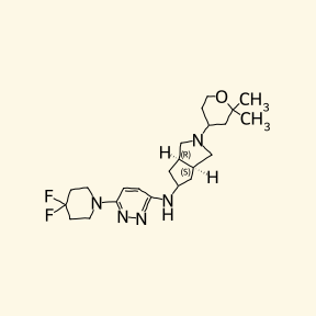 CC1(C)CC(N2C[C@H]3CC(Nc4ccc(N5CCC(F)(F)CC5)nn4)C[C@H]3C2)CCO1